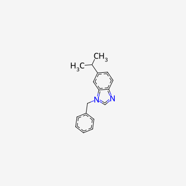 CC(C)c1ccc2ncn(Cc3ccccc3)c2c1